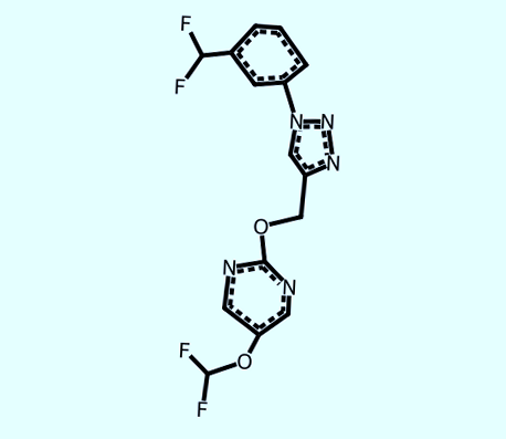 FC(F)Oc1cnc(OCc2cn(-c3cccc(C(F)F)c3)nn2)nc1